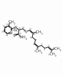 CC(C)=CCCC(C)=CCCC(C)=CSCC(Nc1ncccc1C)C(N)=S